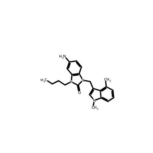 CCCCn1c(=O)n(Cc2cn(C)c3cccc(C)c23)c2ccc(N)cc21